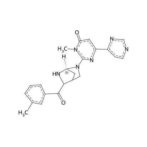 Cc1cccc(C(=O)C2N[C@@H]3CC2CN3c2nc(-c3ccncn3)cc(=O)n2C)c1